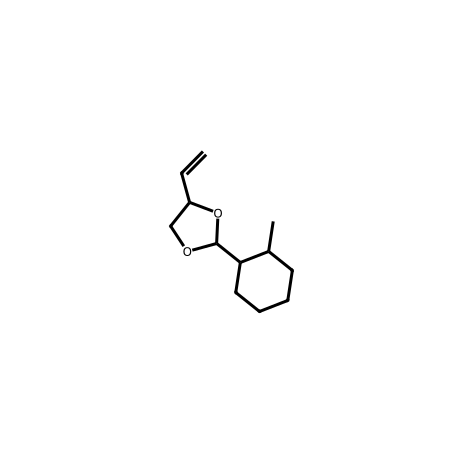 C=CC1COC(C2CCCCC2C)O1